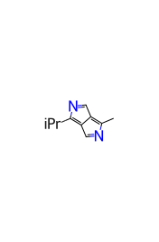 CC1=C2C=NC(C(C)C)=C2C=N1